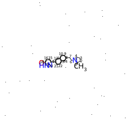 C[C@@H]1CCCN1CCc1ccc2cc(-c3ccc(=O)[nH]n3)ccc2c1